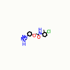 Cc1c(Cl)cccc1NC(=O)COc1cccc(N2CNN=N2)c1